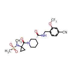 CN(C1(C(=O)N2CCC[C@@H](C(=O)NCc3ccc(C#N)cc3OC(F)(F)F)C2)CC1)S(C)(=O)=O